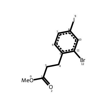 COC(=O)CCc1ccc(I)cc1Br